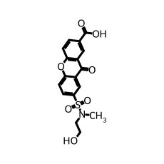 CN(CCO)S(=O)(=O)c1ccc2oc3ccc(C(=O)O)cc3c(=O)c2c1